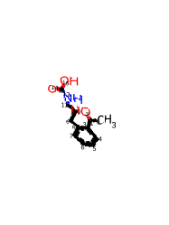 CC(O)c1ccccc1CCCNC(=O)O